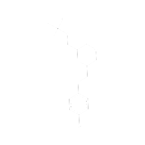 FC(F)(F)OCC1COCC(COc2ccc(Br)cc2)O1